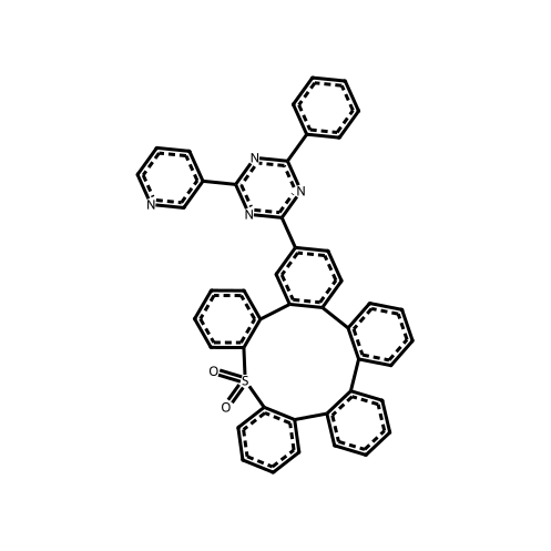 O=S1(=O)c2ccccc2-c2ccccc2-c2ccccc2-c2ccc(-c3nc(-c4ccccc4)nc(-c4cccnc4)n3)cc2-c2ccccc21